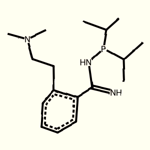 CC(C)P(NC(=N)c1ccccc1CCN(C)C)C(C)C